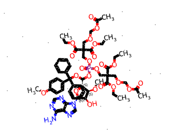 CCOC(=O)C(COCOC(C)=O)(COP(=O)(OCC(COCOC(C)=O)(C(=O)OCC)C(=O)OCC)OC(OC(c1ccccc1)(c1ccccc1)c1ccc(OC)cc1)[C@H]1O[C@@H](n2cnc3c(N)ncnc32)[C@H](O)[C@@H]1OC)C(=O)OCC